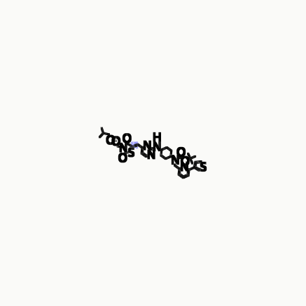 CC(C)COOCN1C(=O)S/C(=C\c2ccnc(N[C@H]3CC[C@H](N(Cc4cccc(-c5ccsc5)n4)C(=O)OC(C)(C)C)CC3)n2)C1=O